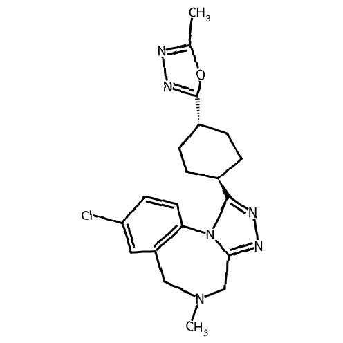 Cc1nnc([C@H]2CC[C@H](c3nnc4n3-c3ccc(Cl)cc3CN(C)C4)CC2)o1